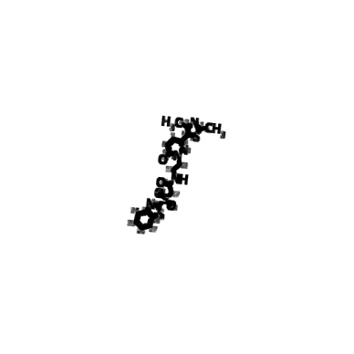 Cc1nc(C)c(-c2ccc(=O)n(CCNC(=O)CS(=O)(=O)c3nc4ccccc4s3)n2)s1